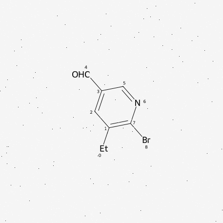 CCc1cc(C=O)cnc1Br